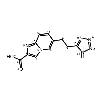 O=C(O)c1cn2cc(CCc3nnn[nH]3)ccc2n1